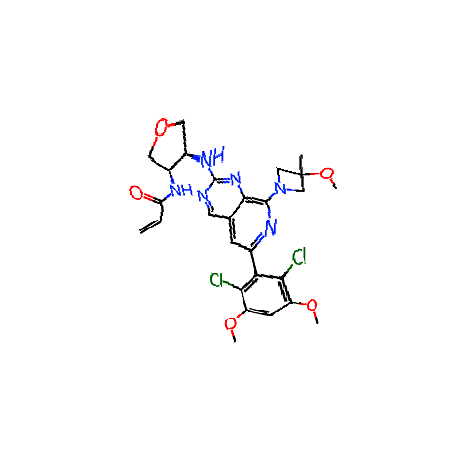 C=CC(=O)N[C@H]1COC[C@H]1Nc1ncc2cc(-c3c(Cl)c(OC)cc(OC)c3Cl)nc(N3CC(C)(OC)C3)c2n1